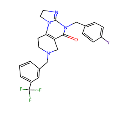 O=C1C2=C(CCN(Cc3cccc(C(F)(F)F)c3)C2)N2CCN=C2N1Cc1ccc(I)cc1